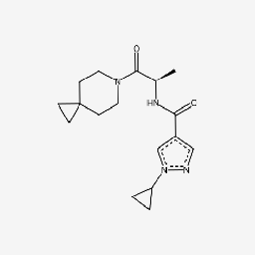 C[C@@H](NC(=O)c1cnn(C2CC2)c1)C(=O)N1CCC2(CC1)CC2